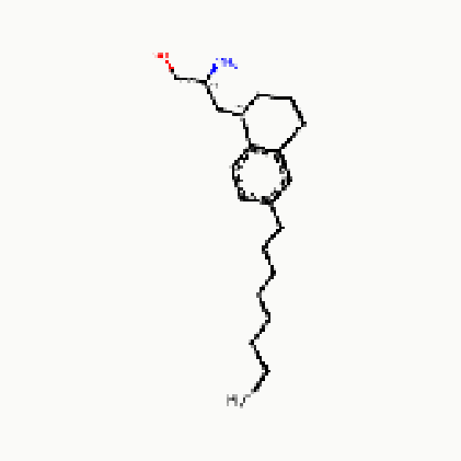 CCCCCCCCc1ccc2c(c1)CCC[C@@H]2C[C@H](N)CO